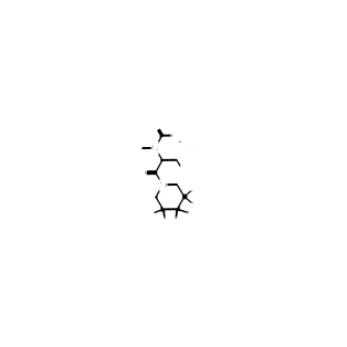 CN(C(=O)OC(C)(C)C)C(CC(=O)O)C(=O)N1CC(F)(F)C(F)(F)C(F)(F)C1